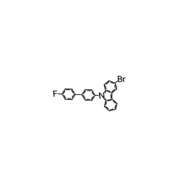 Fc1ccc(-c2ccc(-n3c4ccccc4c4cc(Br)ccc43)cc2)cc1